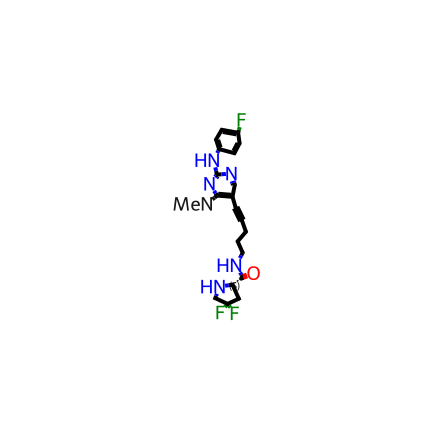 CNc1nc(Nc2ccc(F)cc2)ncc1C#CCCCNC(=O)[C@@H]1CC(F)(F)CN1